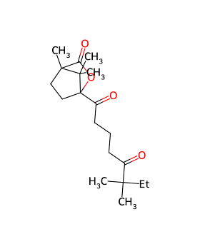 CCC(C)(C)C(=O)CCCC(=O)C12CCC(C)(C(=O)O1)C2(C)C